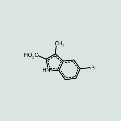 Cc1c(C(=O)O)[nH]c2ccc(C(C)C)cc12